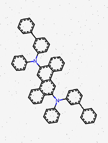 c1ccc(-c2cccc(N(c3ccccc3)c3cc4c5ccccc5c(N(c5ccccc5)c5cccc(-c6ccccc6)c5)cc4c4ccccc34)c2)cc1